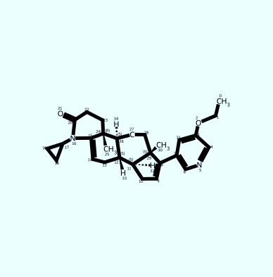 CCOc1cncc(C2=CC[C@H]3[C@@H]4CC=C5N(C6CC6)C(=O)CC[C@]5(C)[C@H]4CC[C@]23C)c1